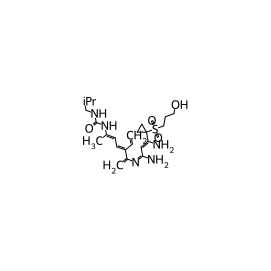 C=C/C(=C\C=C(/C)NC(=O)NCC(C)C)C(=C)/N=C(N)\C=C(/N)C1(S(=O)(=O)CCCO)CC1